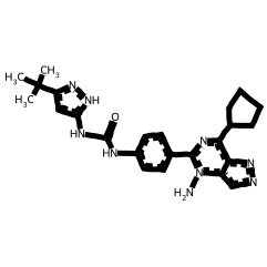 CC(C)(C)c1cc(NC(=O)Nc2ccc(-c3nc(C4CCCC4)c4nncc-4n3N)cc2)[nH]n1